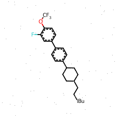 CCC(C)CCC1CCC(c2ccc(-c3ccc(OC(F)(F)F)c(F)c3)cc2)CC1